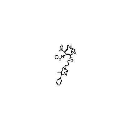 Cc1c(-c2ccccc2)ncn1CCCSc1ncnc(N(C)C)c1[N+](=O)[O-]